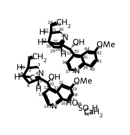 C=C[C@H]1C[N@]2CC[C@H]1C[C@H]2[C@H](O)c1ccnc2ccc(OC)cc12.C=C[C@H]1C[N@]2CC[C@H]1C[C@H]2[C@H](O)c1ccnc2ccc(OC)cc12.O=S(=O)(O)O.[CaH2]